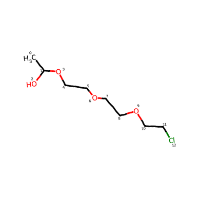 CC(O)OCCOCCOCCCl